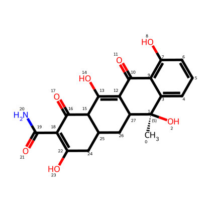 C[C@@]1(O)c2cccc(O)c2C(=O)C2=C(O)C3C(=O)C(C(N)=O)=C(O)CC3CC21